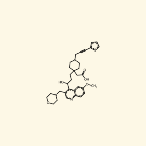 COc1ccc2ncc(CN3CCOCC3)c(C(O)CCC3(CC(=O)O)CCN(CC#Cc4cccs4)CC3)c2c1